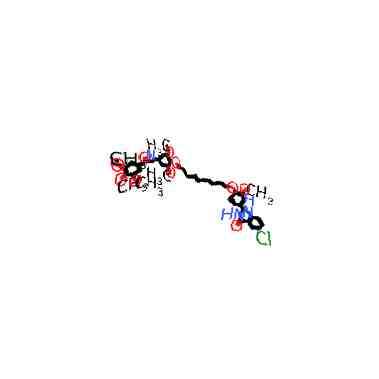 COc1cc(C2NC(=O)c3cc(Cl)ccc3N2)ccc1OCCCCCCCCCOc1c(OC)cc(-c2cc(-c3cc(OC)c(OC)c(OC)c3)on2)cc1OC